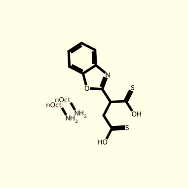 CCCCCCCCN.CCCCCCCCN.OC(=S)CC(C(O)=S)c1nc2ccccc2o1